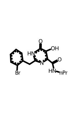 CCCNC(=O)c1nc(Cc2ccccc2Br)[nH]c(=O)c1O